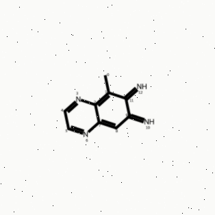 CC1=c2nccnc2=CC(=N)C1=N